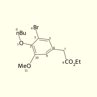 CCCCOc1c(Br)cc(CC(=O)OCC)cc1OC